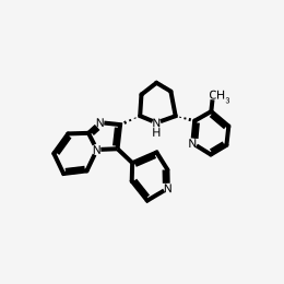 Cc1cccnc1[C@H]1CCC[C@@H](c2nc3ccccn3c2-c2ccncc2)N1